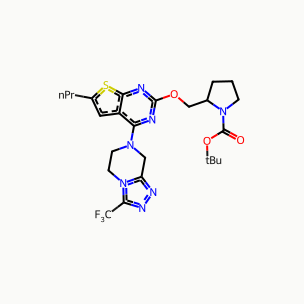 CCCc1cc2c(N3CCn4c(nnc4C(F)(F)F)C3)nc(OCC3CCCN3C(=O)OC(C)(C)C)nc2s1